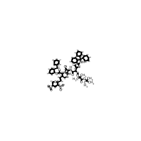 CC(C)(C)OC(=O)C(C)(C)O/N=C(\C(=O)NC1C(=O)N2C(C(=O)OC(c3ccccc3)c3ccccc3)=C(/C=C/c3ccc([N+](=O)[O-])cc3[N+](=O)[O-])CS[C@H]12)c1csc(NC(c2ccccc2)(c2ccccc2)c2ccccc2)n1